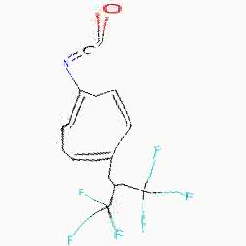 O=C=Nc1ccc(C(C(F)(F)F)C(F)(F)F)cc1